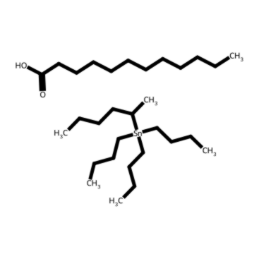 CCCCCCCCCCCC(=O)O.CCCC[CH](C)[Sn]([CH2]CCC)([CH2]CCC)[CH2]CCC